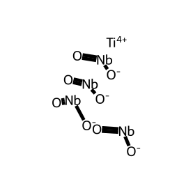 [O]=[Nb][O-].[O]=[Nb][O-].[O]=[Nb][O-].[O]=[Nb][O-].[Ti+4]